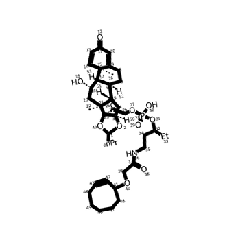 CCCC1O[C@@H]2C[C@H]3[C@@H]4CCC5=CC(=O)C=C[C@]5(C)[C@H]4[C@@H](O)C[C@]3(C)[C@]2(C(=O)COP(=O)(O)OC(CC)CCNC(=O)COC2C#CCCCCC2)O1